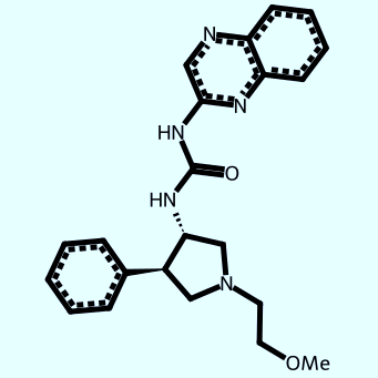 COCCN1C[C@@H](NC(=O)Nc2cnc3ccccc3n2)[C@H](c2ccccc2)C1